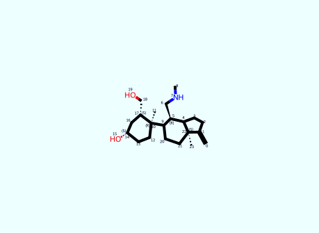 C=C1CCC2[C@H](CNC)C([C@@]3(C)CC[C@H](O)C[C@@H]3CO)CC[C@]12C